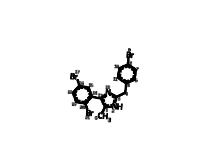 Cc1[nH]c(Cc2ccc(Br)cc2)nc1-c1cc(Br)ccc1Br